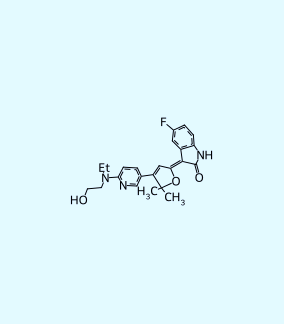 CCN(CCO)c1ccc(C2=CC(=C3C(=O)Nc4ccc(F)cc43)OC2(C)C)cn1